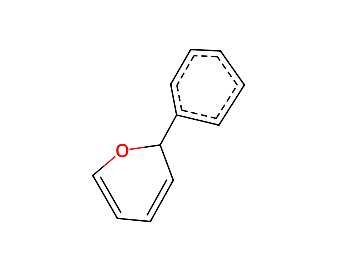 C1=COC(c2ccccc2)C=C1